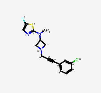 CN(c1ncc(F)s1)C1CN(CC#Cc2cccc(Cl)c2)C1